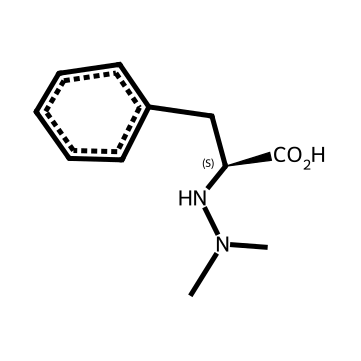 CN(C)N[C@@H](Cc1ccccc1)C(=O)O